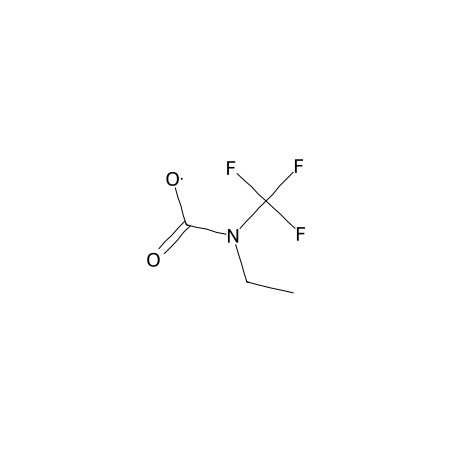 CCN(C([O])=O)C(F)(F)F